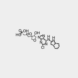 O=P(O)(O)CCCC1(O)CO[C@@H](n2cnc3c(Nc4cc5ccccc5[nH]4)nc(Cl)nc32)C1O